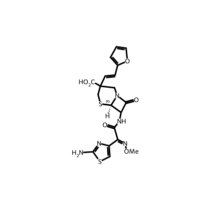 CON=C(C(=O)NC1C(=O)N2CC(C=Cc3ccco3)(C(=O)O)CS[C@H]12)c1csc(N)n1